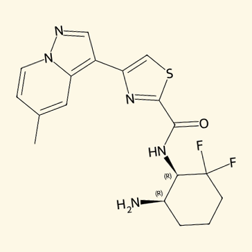 Cc1ccn2ncc(-c3csc(C(=O)N[C@@H]4[C@H](N)CCCC4(F)F)n3)c2c1